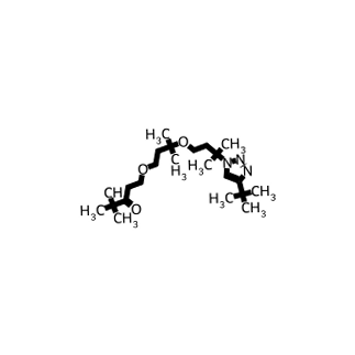 CC(C)(CCOCCC(=O)C(C)(C)C)OCCC(C)(C)n1cc(C(C)(C)C)nn1